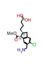 COC(=O)[C@@H]1c2cc(CN)c(Cl)cc2C[C@@H]1CCCB(O)O